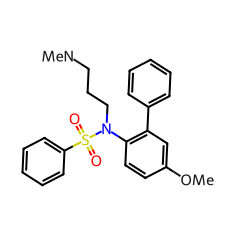 CNCCCN(c1ccc(OC)cc1-c1ccccc1)S(=O)(=O)c1ccccc1